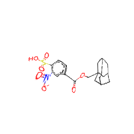 O=C(OCC12CC3CC(CC(C3)C1)C2)c1ccc(S(=O)(=O)O)c([N+](=O)[O-])c1